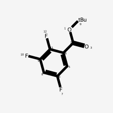 CC(C)(C)OC(=O)c1cc(F)cc(F)c1F